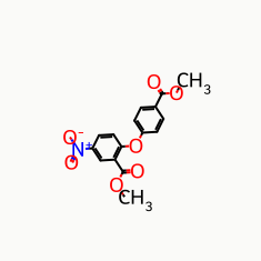 COC(=O)c1ccc(Oc2ccc([N+](=O)[O-])cc2C(=O)OC)cc1